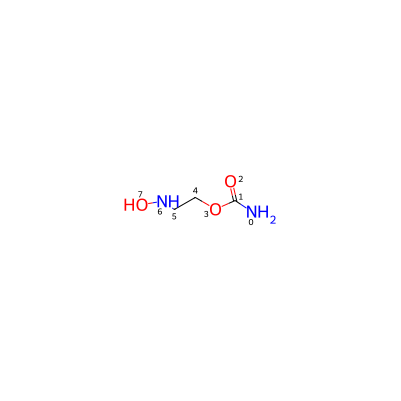 NC(=O)OCCNO